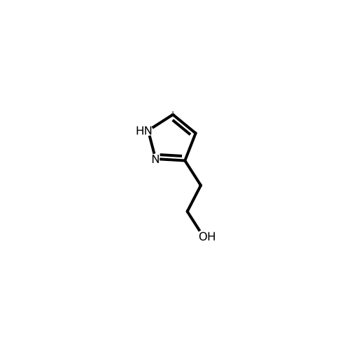 OCCc1c[c][nH]n1